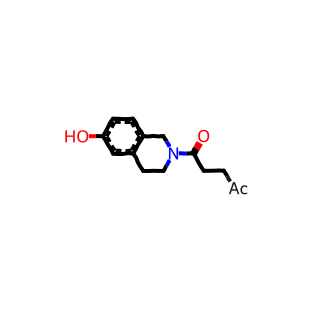 CC(=O)CCC(=O)N1CCc2cc(O)ccc2C1